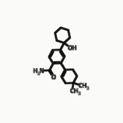 CC1(C)CC=C(c2cc(C3(O)CCCCC3)ccc2C(N)=O)CC1